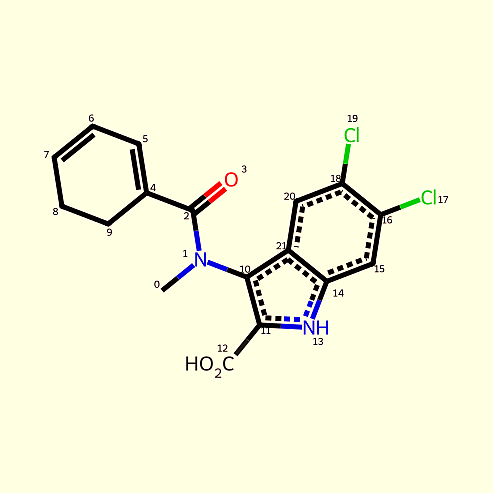 CN(C(=O)C1=CC=CCC1)c1c(C(=O)O)[nH]c2cc(Cl)c(Cl)cc12